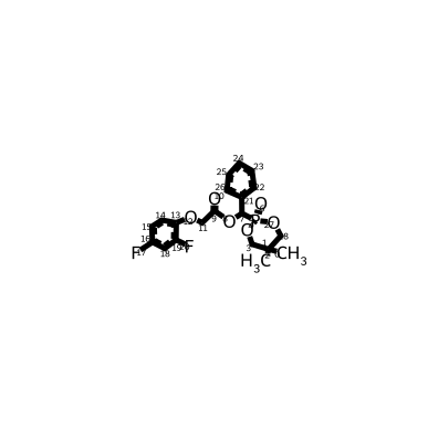 CC1(C)COP(=O)(C(OC(=O)COc2ccc(F)cc2F)c2ccccc2)OC1